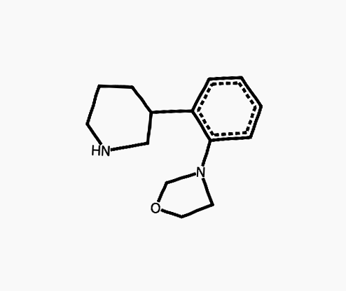 c1ccc(N2CCOC2)c(C2CCCNC2)c1